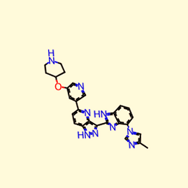 Cc1cn(-c2cccc3[nH]c(-c4n[nH]c5ccc(-c6cncc(OC7CCNCC7)c6)nc45)nc23)cn1